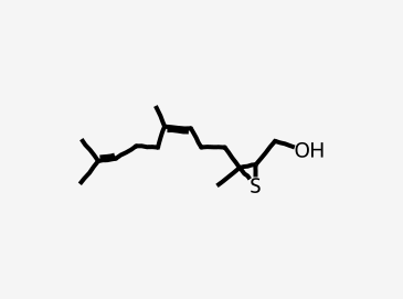 CC(C)=CCCC(C)=CCCC1(C)SC1CO